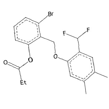 CCC(=O)Oc1cccc(Br)c1COc1cc(C)c(C)cc1C(F)F